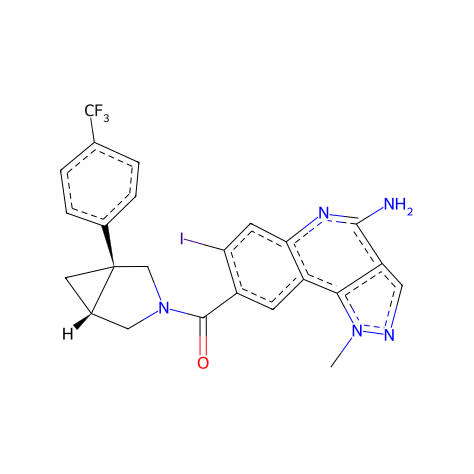 Cn1ncc2c(N)nc3cc(I)c(C(=O)N4C[C@@H]5C[C@]5(c5ccc(C(F)(F)F)cc5)C4)cc3c21